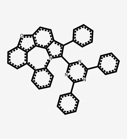 c1ccc(-c2nc(-c3ccccc3)nc(-c3c(-c4ccccc4)c4ccc5oc6cccc7c8ccccc8n3c4c5c67)n2)cc1